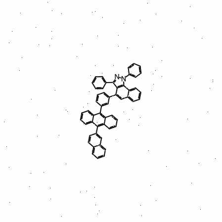 c1ccc(-c2nn(-c3ccccc3)c3c2c(-c2cccc(-c4c5ccccc5c(-c5ccc6ccccc6c5)c5ccccc45)c2)cc2ccccc23)cc1